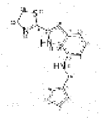 c1cc(NCc2ccsc2)c2[nH]c(C3=NCCS3)cc2c1